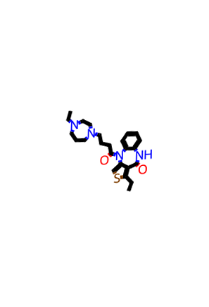 CCc1scc2c1C(=O)Nc1ccccc1N2C(=O)CCCN1CCCN(CC)CC1